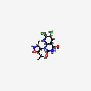 Cc1noc(C(C)C)c1-n1c(=O)[nH]c(=O)c2cc(Cl)c(Cl)nc21